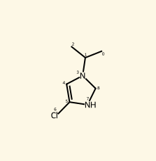 CC(C)N1C=C(Cl)NC1